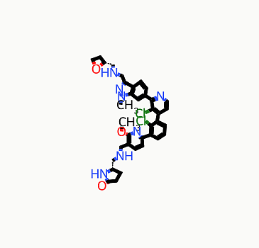 COc1nc(-c2cccc(-c3ccnc(-c4ccc5c(CNC[C@H]6CCO6)nn(C)c5c4)c3Cl)c2Cl)ccc1CNC[C@@H]1CCC(=O)N1